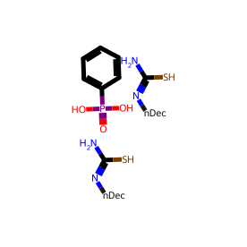 CCCCCCCCCCN=C(N)S.CCCCCCCCCCN=C(N)S.O=P(O)(O)c1ccccc1